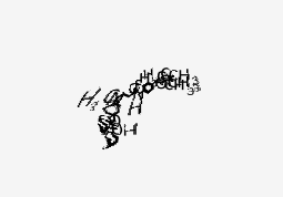 CN(CCC(=O)Nc1ccc(CO[Si](C)(C)C(C)(C)C)cc1F)C1CCC(OC(=O)C(O)(c2cccs2)c2cccs2)CC1